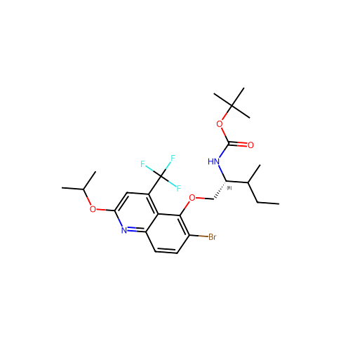 CCC(C)[C@H](COc1c(Br)ccc2nc(OC(C)C)cc(C(F)(F)F)c12)NC(=O)OC(C)(C)C